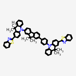 CC1(C)c2cc(-c3ccc(N4c5ccccc5C(C)(C)c5cc(-c6nc7ccccc7s6)ccc54)cc3)ccc2-c2ccc(N3c4ccccc4C(C)(C)c4cc(-c5nc6ccccc6s5)ccc43)cc21